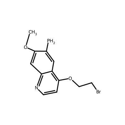 COc1cc2nccc(OCCBr)c2cc1P